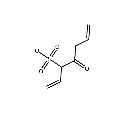 C=CCC(=O)C(C=C)S([O])(=O)=O